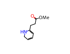 COC(=O)CCC1=CC=CCN1